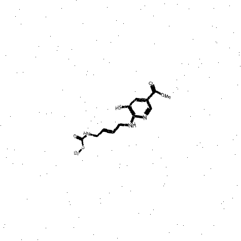 COC(=O)c1cnc(NCC=CCNC(=O)OC(C)(C)C)c(S)c1